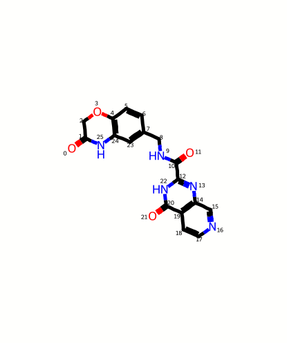 O=C1COc2ccc(CNC(=O)c3nc4cnccc4c(=O)[nH]3)cc2N1